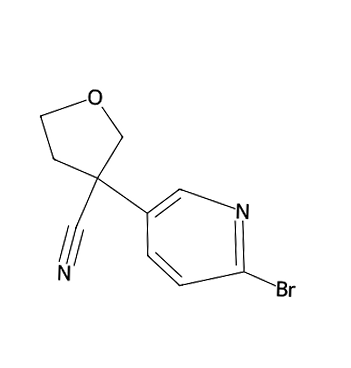 N#CC1(c2ccc(Br)nc2)CCOC1